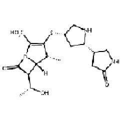 C[C@@H](O)[C@H]1C(=O)N2C(C(=O)O)=C(S[C@@H]3CN[C@H](C4CNC(=O)C4)C3)[C@H](C)[C@H]12